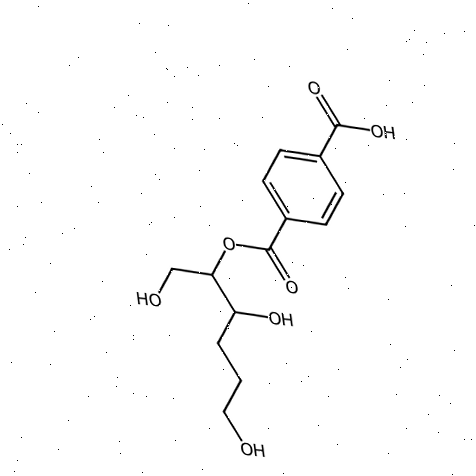 O=C(O)c1ccc(C(=O)OC(CO)C(O)CCCO)cc1